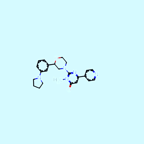 Cn1c(N2CCOC(c3cccc(N4CCCC4)c3)C2)nc(-c2ccncc2)cc1=O